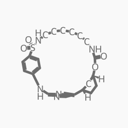 O=C1NCCCCCCNS(=O)(=O)c2ccc(cc2)Nc2ncc(cn2)[C@H]2CC[C@H](C2)O1